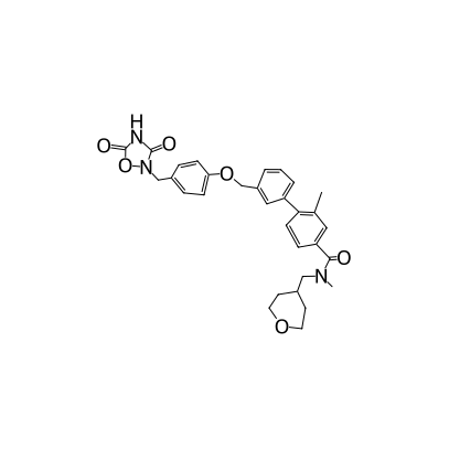 Cc1cc(C(=O)N(C)CC2CCOCC2)ccc1-c1cccc(COc2ccc(Cn3oc(=O)[nH]c3=O)cc2)c1